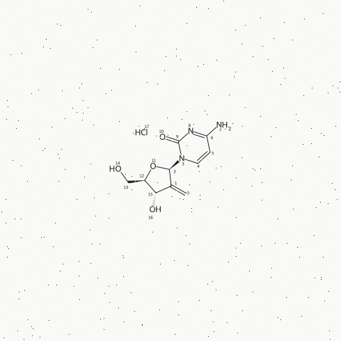 C=C1[C@H](n2ccc(N)nc2=O)O[C@H](CO)[C@H]1O.Cl